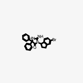 N=C1NC(c2ccccc2)(c2ccccc2)C(=O)N1C1CCc2cc(Br)ccc21